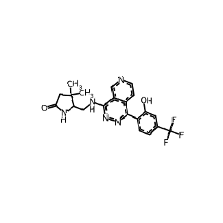 CC1(C)CC(=O)NC1CNc1nnc(-c2ccc(C(F)(F)F)cc2O)c2ccncc12